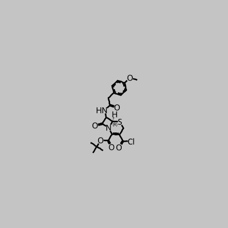 COc1ccc(CC(=O)NC2C(=O)N3C(C(=O)OC(C)(C)C)=C(C(=O)Cl)CS[C@H]23)cc1